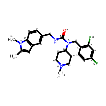 Cc1cc2cc(CNC(=O)N(Cc3ccc(F)cc3F)C3CCN(C)CC3)ccc2n1C